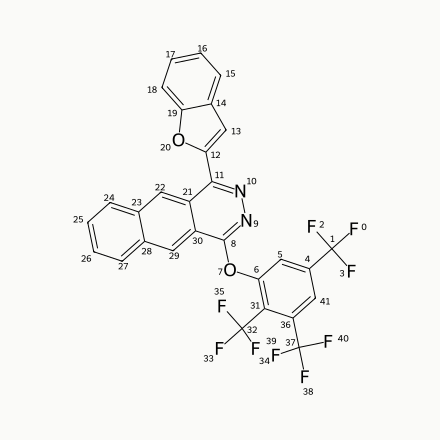 FC(F)(F)c1cc(Oc2nnc(-c3cc4ccccc4o3)c3cc4ccccc4cc23)c(C(F)(F)F)c(C(F)(F)F)c1